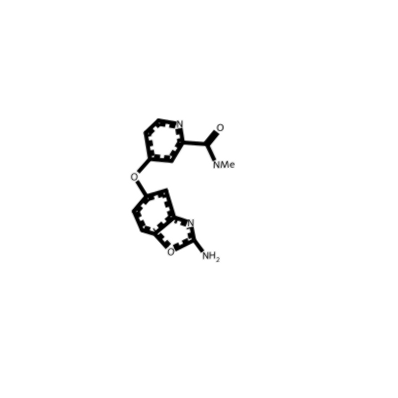 CNC(=O)c1cc(Oc2ccc3oc(N)nc3c2)ccn1